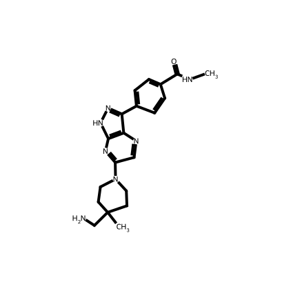 CNC(=O)c1ccc(-c2n[nH]c3nc(N4CCC(C)(CN)CC4)cnc23)cc1